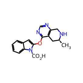 C[C@H]1Cc2c(ncnc2Oc2cc3ccccc3n2C(=O)O)CN1